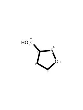 O=C(O)C1CCOS1